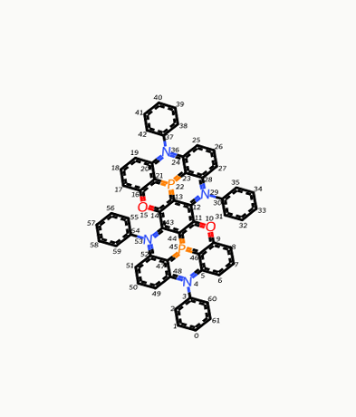 c1ccc(-n2c3cccc4oc5c6c7c(oc8cccc9c8p7c7c(cccc7n6-c6ccccc6)n9-c6ccccc6)c6c5p(c43)c3c2cccc3n6-c2ccccc2)cc1